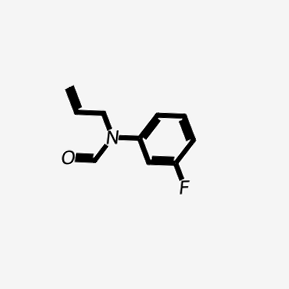 C=CCN(C=O)c1cccc(F)c1